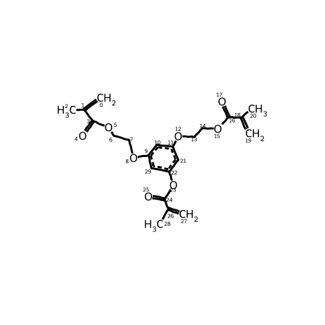 C=C(C)C(=O)OCCOc1cc(OCCOC(=O)C(=C)C)cc(OC(=O)C(=C)C)c1